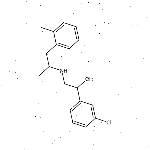 Cc1ccccc1CC(C)NCC(O)c1cccc(Cl)c1